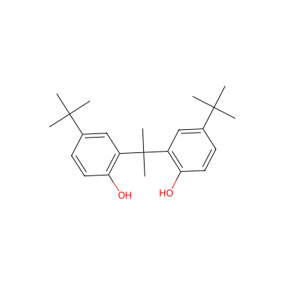 CC(C)(C)c1ccc(O)c(C(C)(C)c2cc(C(C)(C)C)ccc2O)c1